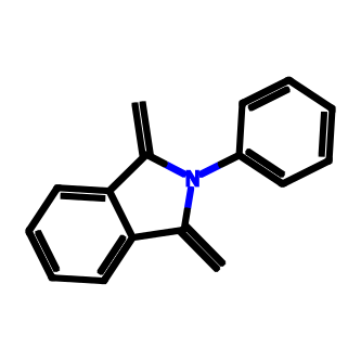 C=c1c2ccccc2c(=C)n1-c1ccccc1